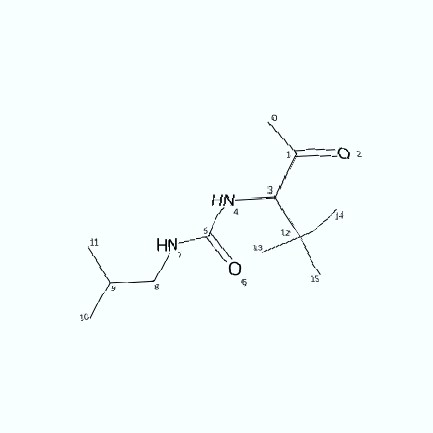 CC(=O)C(NC(=O)NCC(C)C)C(C)(C)C